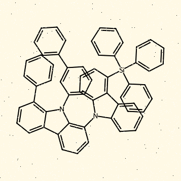 c1ccc(-c2cccc(-n3c4c(-c5ccccc5)cccc4c4cccc(-n5c6ccccc6c6c([Si](c7ccccc7)(c7ccccc7)c7ccccc7)cccc65)c43)c2)cc1